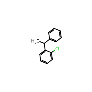 [CH2]C(c1ccccc1)c1ccccc1Cl